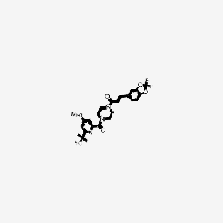 COc1cc(C(=O)N2CCN(C(=O)/C=C/c3ccc4c(c3)OC(F)(F)O4)CC2)nc(C(C)(C)O)c1